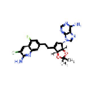 CC1(C)O[C@@H]2[C@H](O1)C(CCc1cc(F)c3cc(Cl)c(N)nc3c1)=C[C@H]2n1cnc2c(N)ncnc21